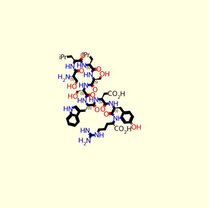 CC(C)C[C@H](NC(=O)[C@H](CC(C)C)NC(=O)[C@@H](N)CO)C(=O)N[C@@H](CO)C(=O)N[C@@H](CO)C(=O)N[C@@H](Cc1c[nH]c2ccccc12)C(=O)N[C@@H](CC(=O)O)C(=O)N[C@@H](Cc1ccc(O)cc1)C(=O)N[C@@H](CCCNC(=N)N)C(=O)O